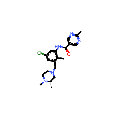 Cc1ncc(C(=O)Nc2cc(Cl)cc(CN3CCN(C)[C@@H](C)C3)c2C)cn1